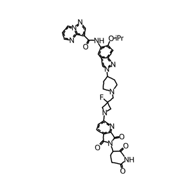 CC(C)Oc1cc2nn(C3CCN(CC4(F)CN(c5ccc6c(n5)C(=O)N(C5CCC(=O)NC5=O)C6=O)C4)CC3)cc2cc1NC(=O)c1cnn2cccnc12